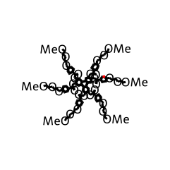 COCCOCCOc1ccc(C(=O)Oc2cc3c4cc(OC(=O)c5ccc(OCCOCCOC)cc5)c(OC(=O)c5ccc(OCCOCCOC)cc5)cc4c4cc(OC(=O)c5ccc(OCCOCCOC)cc5)c(OC(=O)c5ccc(OCCOCCOC)cc5)cc4c3cc2OC(=O)c2ccc(OCCOCCOC)cc2)cc1